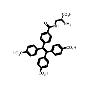 N[C@@H](CNC(=O)c1ccc(C(=C(c2ccc(C(=O)O)cc2)c2ccc(C(=O)O)cc2)c2ccc(C(=O)O)cc2)cc1)C(=O)O